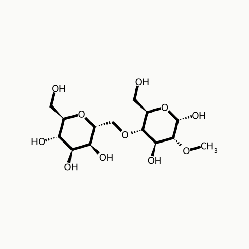 CO[C@@H]1[C@@H](O)[C@H](OC[C@H]2O[C@H](CO)[C@@H](O)[C@H](O)[C@@H]2O)[C@@H](CO)O[C@@H]1O